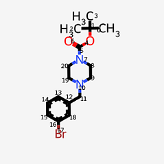 CC(C)(C)OC(=O)N1CCN(Cc2cccc(Br)c2)CC1